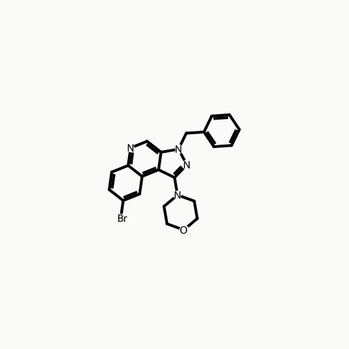 Brc1ccc2ncc3c(c(N4CCOCC4)nn3Cc3ccccc3)c2c1